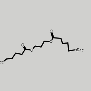 CCCCCCCCCCCCCCC(=O)OC[CH]COC(=O)CCCCCCCCCCCCCC